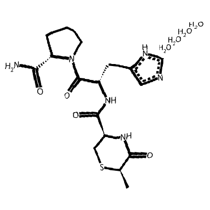 C[C@H]1SC[C@@H](C(=O)N[C@@H](Cc2cnc[nH]2)C(=O)N2CCC[C@H]2C(N)=O)NC1=O.O.O.O.O